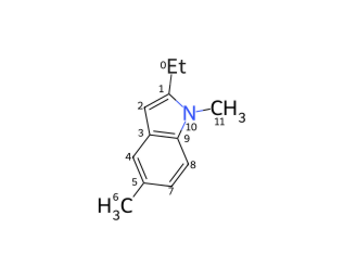 CCc1cc2cc(C)ccc2n1C